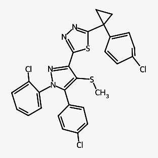 CSc1c(-c2nnc(C3(c4ccc(Cl)cc4)CC3)s2)nn(-c2ccccc2Cl)c1-c1ccc(Cl)cc1